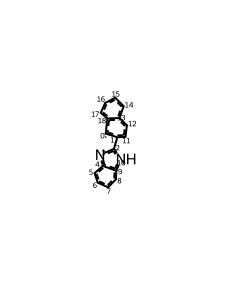 [c]1c(-c2nc3ccccc3[nH]2)ccc2ccccc12